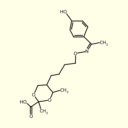 CC(=NOCCCCC1COC(C)(C(=O)O)OC1C)c1ccc(O)cc1